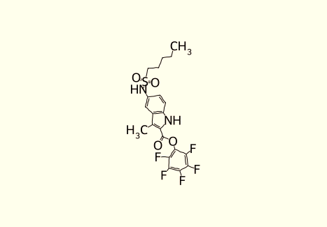 CCCCCS(=O)(=O)Nc1ccc2[nH]c(C(=O)Oc3c(F)c(F)c(F)c(F)c3F)c(C)c2c1